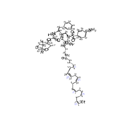 CC/C=C\C/C=C\C/C=C\C/C=C\C/C=C\C/C=C\CCC(=O)NCCNC(=O)O[C@H](CN(CC(C)C)S(=O)(=O)c1ccc(N)cc1)[C@H](Cc1ccccc1)NC(=O)O[C@H]1CO[C@H]2COC[C@H]21